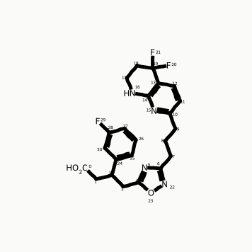 O=C(O)CC(Cc1nc(CCCc2ccc3c(n2)NCCC3(F)F)no1)c1cccc(F)c1